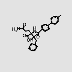 Cc1ccc(-c2ccc(C(=O)N[C@@](CCC(N)=O)(C(=O)O)C(C)(C)Cc3ccccc3)cc2)cc1